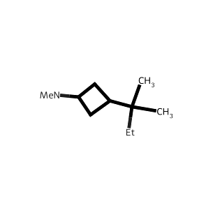 CCC(C)(C)C1CC(NC)C1